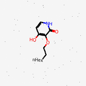 CCCCCCCCOc1c(O)cc[nH]c1=O